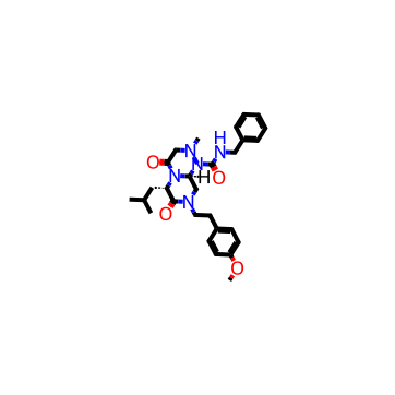 COc1ccc(CCN2C[C@H]3N(C(=O)CN(C)N3C(=O)NCc3ccccc3)[C@@H](CC(C)C)C2=O)cc1